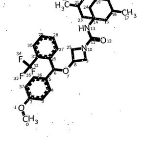 COc1ccc(C(OC2CN(C(=O)NC34CC(C)CC(CC(C)C3)C4)C2)c2ccccc2C(F)(F)F)cc1